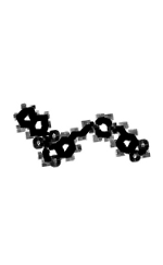 O=S(=O)(c1ccc2ccccc2c1)N1CCOc2ccc(CCCN3CCN(Cc4ccc5c(c4)OCO5)CC3)cc21